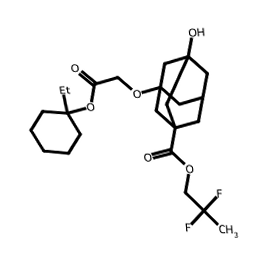 CCC1(OC(=O)COC23CC4CC(O)(C2)CC(C(=O)OCC(C)(F)F)(C4)C3)CCCCC1